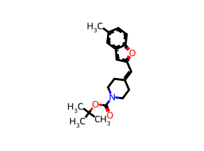 Cc1ccc2oc(C=C3CCN(C(=O)OC(C)(C)C)CC3)cc2c1